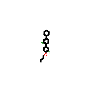 CCCCOc1ccc(-c2ccc(C3CC[CH]CC3)cc2F)cc1F